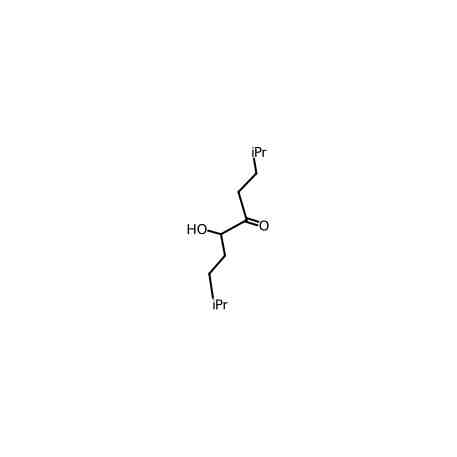 CC(C)CCC(=O)C(O)CCC(C)C